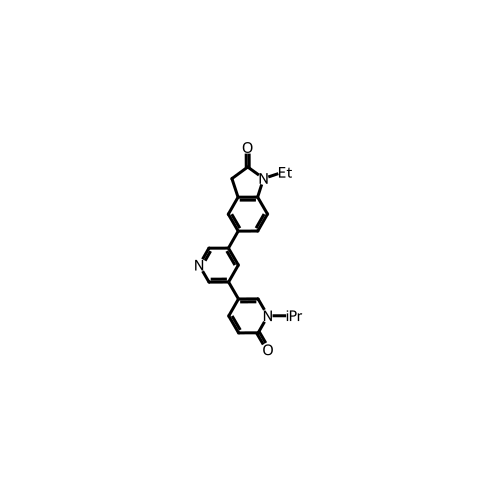 CCN1C(=O)Cc2cc(-c3cncc(-c4ccc(=O)n(C(C)C)c4)c3)ccc21